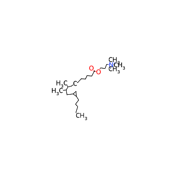 CCCCCC1CC1CC(C)C(C)CCCCCCCC(=O)OCCC[N+](C)(C)C